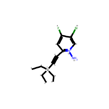 CC[Si](C#Cc1cc(F)c(Br)c[n+]1N)(CC)CC